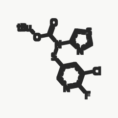 CC(C)(C)OC(=O)N(Sc1cnc(F)c(Cl)c1)c1cscn1